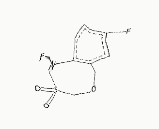 O=S1(=O)COc2cc(F)ccc2N1F